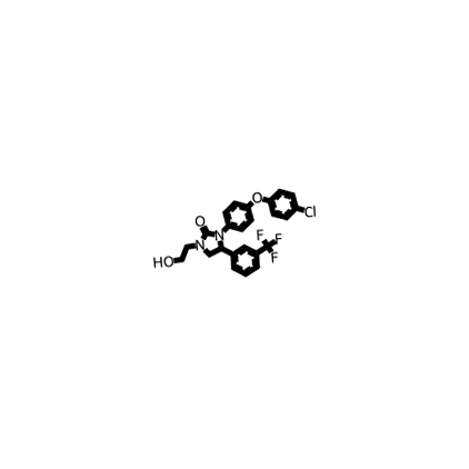 O=C1N(CCO)CC(c2cccc(C(F)(F)F)c2)N1c1ccc(Oc2ccc(Cl)cc2)cc1